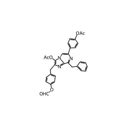 CC(=O)Oc1ccc(-c2cn3c(OC(C)=O)c(Cc4ccc(OC=O)cc4)nc3c(Cc3ccccc3)n2)cc1